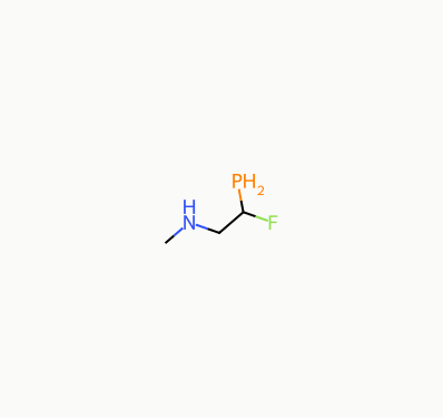 CNCC(F)P